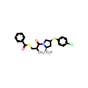 CC(CSC(=O)c1ccccc1)C(=O)N1CC(Sc2ccc(Cl)cc2)C[C@H]1C(=O)O